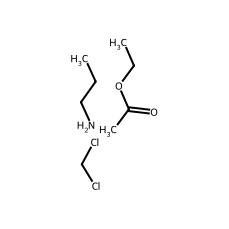 CCCN.CCOC(C)=O.ClCCl